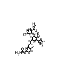 CNC(=O)c1nnc(Cl)cc1Nc1cc(CCCc2nc(OC(N)=O)ccc2C)cc(-c2ccn(C)n2)c1OC